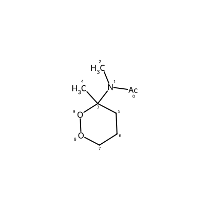 CC(=O)N(C)C1(C)CCCOO1